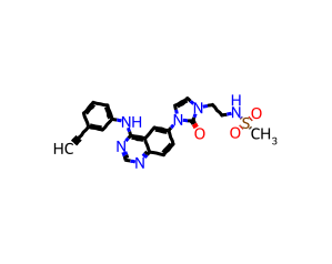 C#Cc1cccc(Nc2ncnc3ccc(-n4ccn(CCNS(C)(=O)=O)c4=O)cc23)c1